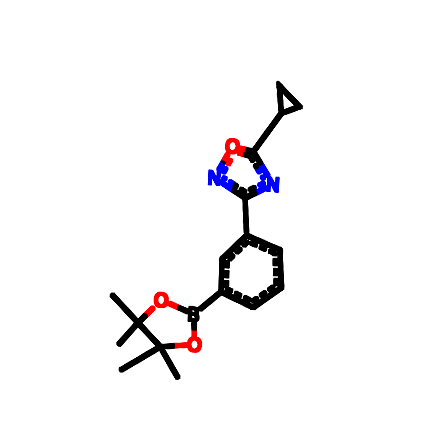 CC1(C)OB(c2cccc(-c3noc(C4CC4)n3)c2)OC1(C)C